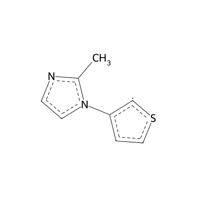 Cc1nccn1-c1[c]scc1